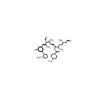 C/C(=C\c1cc(F)cc(N2CCC[C@@H]2C)c1)[C@@H](C=O)[C@@H](C)/C=C/[C@H](OC(=O)N1CCN(C)CC1)[C@H](C)CC[C@H](O)CC=O